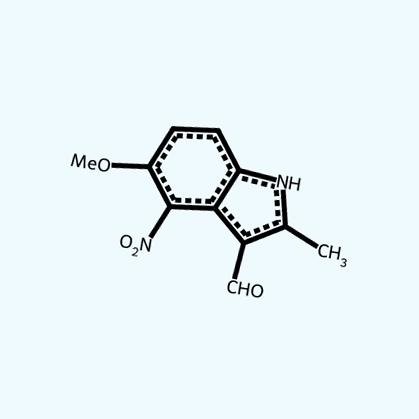 COc1ccc2[nH]c(C)c(C=O)c2c1[N+](=O)[O-]